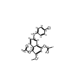 COc1cc(OC(C)=O)c2cc(Sc3ccc(Cl)cc3)ccc2c1OC(C)=O